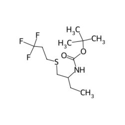 CCC(CSCCC(F)(F)F)NC(=O)OC(C)(C)C